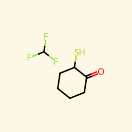 FC(F)F.O=C1CCCCC1S